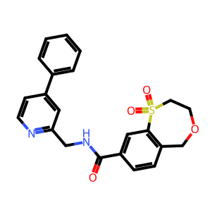 O=C(NCc1cc(-c2ccccc2)ccn1)c1ccc2c(c1)S(=O)(=O)CCOC2